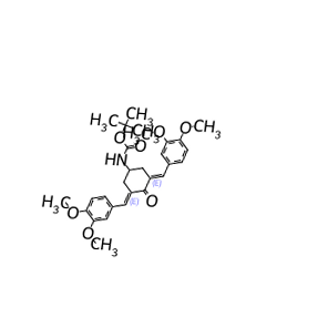 COc1ccc(/C=C2\CC(NC(=O)OC(C)(C)C)C/C(=C\c3ccc(OC)c(OC)c3)C2=O)cc1OC